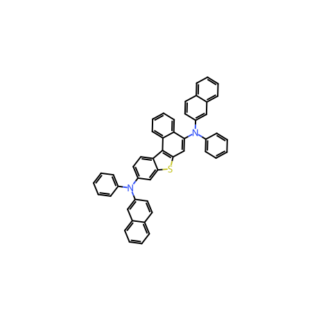 c1ccc(N(c2ccc3ccccc3c2)c2ccc3c(c2)sc2cc(N(c4ccccc4)c4ccc5ccccc5c4)c4ccccc4c23)cc1